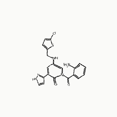 Nc1ccccc1C(=O)n1cc(NCc2ccc(Cl)s2)cc(-c2cc[nH]n2)c1=O